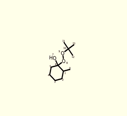 CC1CCCCC1(O)OOC(C)(C)C